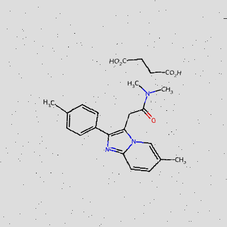 Cc1ccc(-c2nc3ccc(C)cn3c2CC(=O)N(C)C)cc1.O=C(O)CCC(=O)O